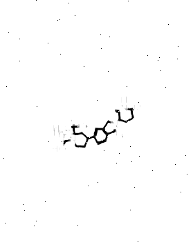 CC(C)(C)[C@]1(C)CC(c2ccc3c(c2)CN(C2CCC(=O)NC2=O)C3=O)CCN1C(=O)O